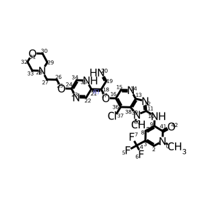 Cn1cc(C(F)(F)F)cc(Nc2nc3ncc(O/C(C=N)=C4\C=NC(OCCN5CCOCC5)=CN4)c(Cl)c3n2C)c1=O